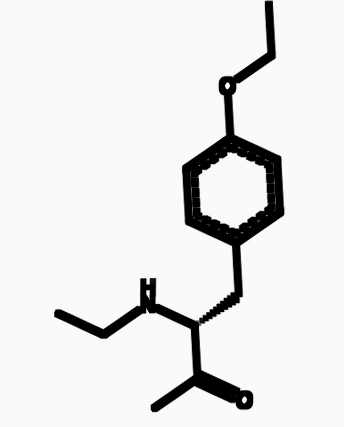 CCN[C@H](Cc1ccc(OCC)cc1)C(C)=O